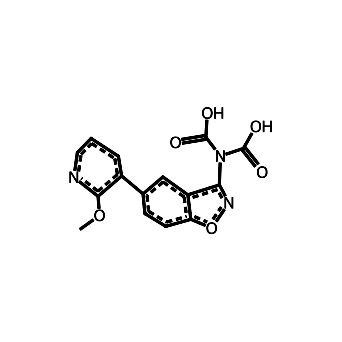 COc1ncccc1-c1ccc2onc(N(C(=O)O)C(=O)O)c2c1